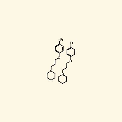 CCCc1ccc(OCCCN2CCCCC2)cc1.CCc1ccc(OCCCN2CCCCC2)cc1